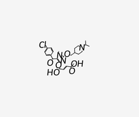 CC(C)N1CCC(COc2ncc(C(=O)c3ccc(Cl)cc3)n2C)CC1.O=C(O)C=CC(=O)O